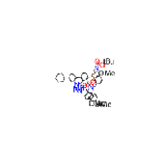 COc1ccc(CN(Cc2ccc(OC)cc2)S(=O)(=O)c2c(SC3CN(C(=O)OC(C)(C)C)C3)ccc(-c3ccc(C4CCCCC4)cc3)c2-c2nnnn2Cc2ccc(OC)cc2)cc1